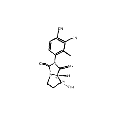 Cc1c(N2C(=O)[C@@H]3[C@H](O)CCN3C2=O)ccc(C#N)c1C#N